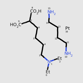 CCN(CC)CCCCC(C(=O)O)C(=O)O.NCCCCN.[Pt]